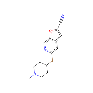 CN1CCC(Sc2cc3cc(C#N)oc3cn2)CC1